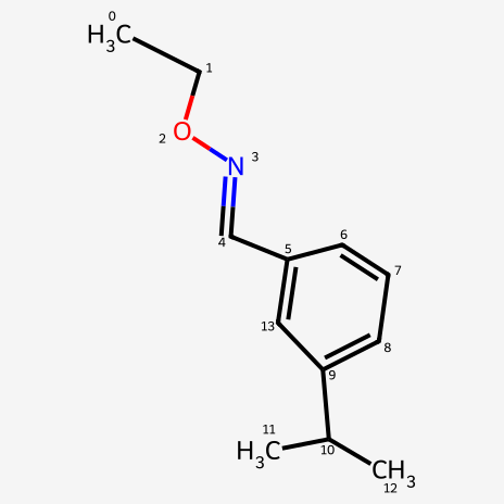 CCO/N=C/c1cccc(C(C)C)c1